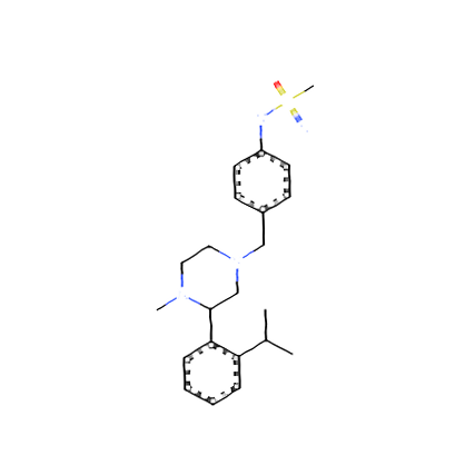 CC(C)c1ccccc1C1CN(Cc2ccc(NS(C)(=N)=O)cc2)CCN1C